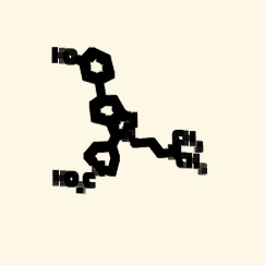 CN(C)CCCn1nc2cc(-c3cccc(O)c3)ccc2c1C1=CCN(C(=O)O)CC1